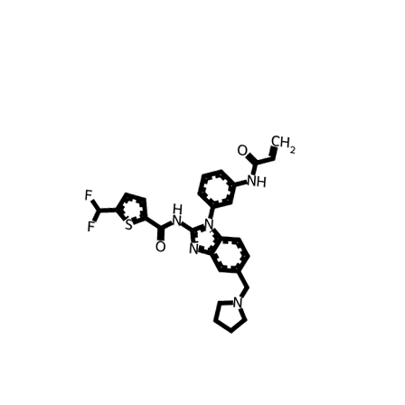 C=CC(=O)Nc1cccc(-n2c(NC(=O)c3ccc(C(F)F)s3)nc3cc(CN4CCCC4)ccc32)c1